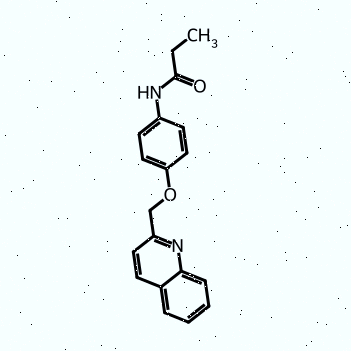 CCC(=O)Nc1ccc(OCc2ccc3ccccc3n2)cc1